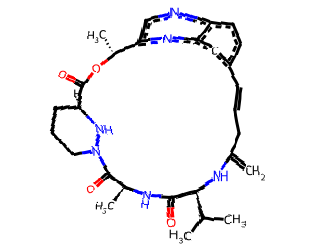 C=C1C/C=C/c2ccc3ncc(nc3c2)[C@@H](C)OC(=O)[C@@H]2CCCN(N2)C(=O)[C@H](C)NC(=O)[C@H](C(C)C)N1